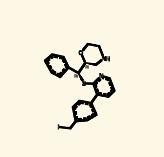 ICc1ccc(-c2cccnc2S[C@@H](c2ccccc2)[C@@H]2CNCCO2)cc1